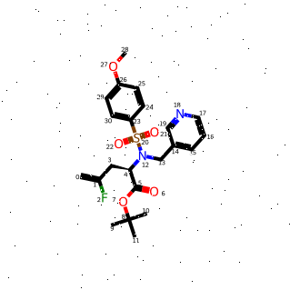 C=C(F)C[C@H](C(=O)OC(C)(C)C)N(Cc1cccnc1)S(=O)(=O)c1ccc(OC)cc1